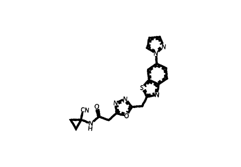 N#CC1(NC(=O)Cc2nnc(Cc3nc4ccc(-n5cccn5)cc4s3)o2)CC1